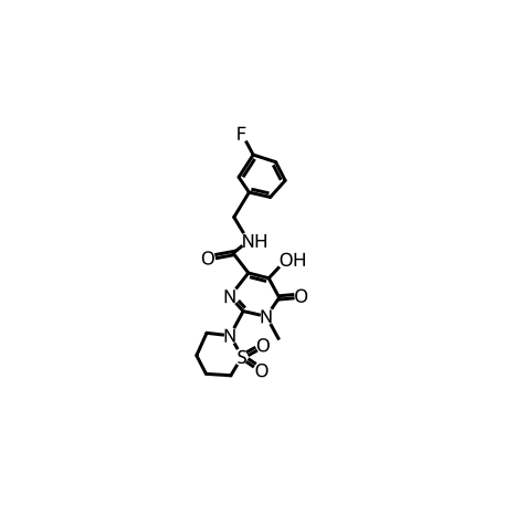 Cn1c(N2CCCCS2(=O)=O)nc(C(=O)NCc2cccc(F)c2)c(O)c1=O